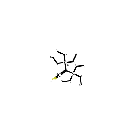 CC[Si](CC)(CC)C(=C=S)[Si](CC)(CC)CC